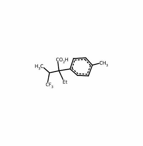 CCC(C(=O)O)(c1ccc(C)cc1)C(C)C(F)(F)F